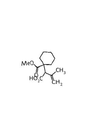 C=C(C)C(C(=O)O)C1(C(=O)OC)CCCCC1